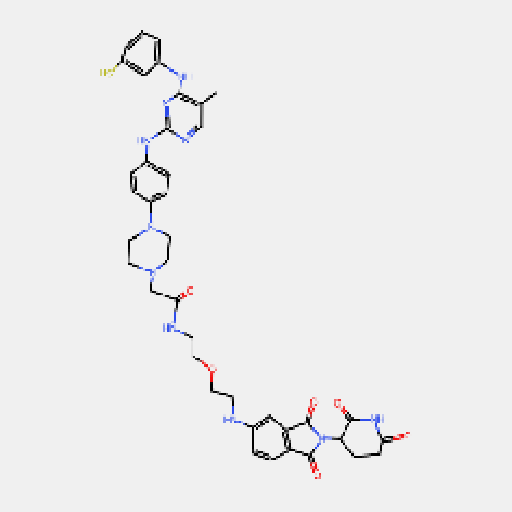 Cc1cnc(Nc2ccc(N3CCN(CC(=O)NCCOCCNc4ccc5c(c4)C(=O)N(C4CCC(=O)NC4=O)C5=O)CC3)cc2)nc1Nc1cccc(S)c1